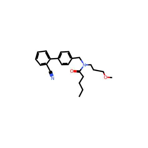 CCCCC(=O)N(CCCOC)Cc1ccc(-c2ccccc2C#N)cc1